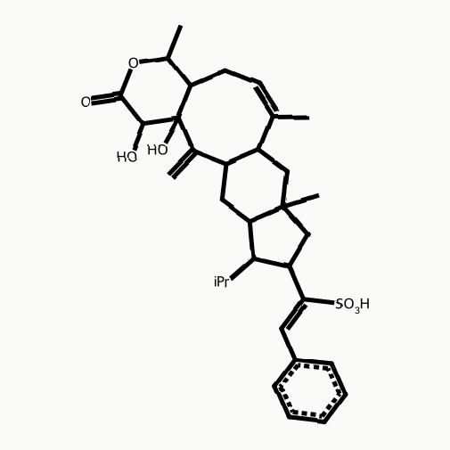 C=C1C2CC3C(C(C)C)C(C(=Cc4ccccc4)S(=O)(=O)O)CC3(C)CC2C(C)=CCC2C(C)OC(=O)C(O)C12O